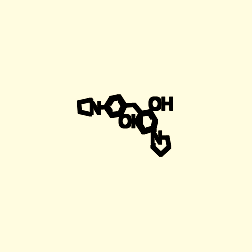 Oc1cc(N2CCCC2)ccc1Cc1ccc(N2CCCC2)cc1O